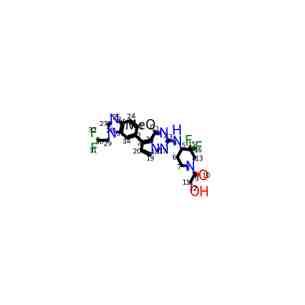 COc1nc(N[C@@H]2CCN(C(=O)CO)CC2(F)F)nn2ccc(-c3ccc4ncn(CC(F)F)c4c3)c12